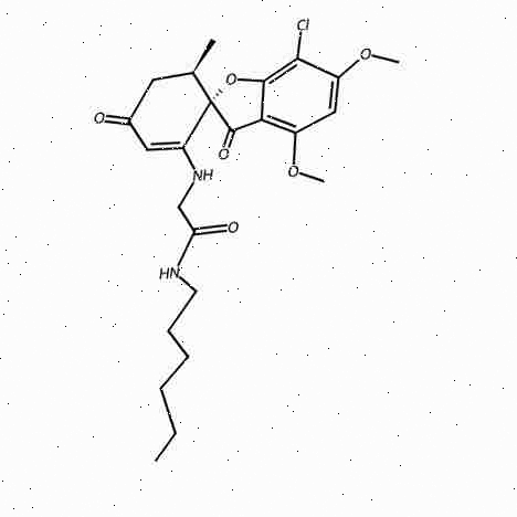 CCCCCCNC(=O)CNC1=CC(=O)C[C@@H](C)[C@]12Oc1c(Cl)c(OC)cc(OC)c1C2=O